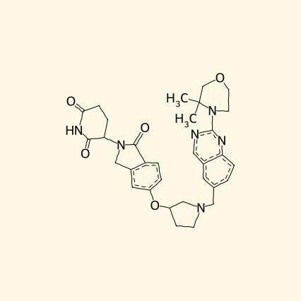 CC1(C)COCCN1c1ncc2cc(CN3CCC(Oc4ccc5c(c4)CN(C4CCC(=O)NC4=O)C5=O)C3)ccc2n1